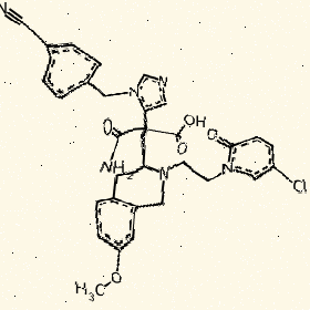 COc1ccc2c(c1)CN(CCn1cc(Cl)ccc1=O)C(C(C(N)=O)(C(=O)O)c1cncn1Cc1ccc(C#N)cc1)C2